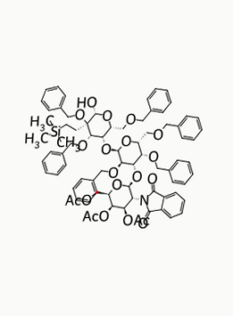 CC(=O)OC[C@H]1O[C@@H](O[C@H]2[C@@H](OCc3ccccc3)[C@@H](COCc3ccccc3)O[C@H](O[C@H]3[C@@H](COCc4ccccc4)O[C@@H](O)[C@](CC[Si](C)(C)C)(OCc4ccccc4)[C@H]3OCc3ccccc3)[C@@H]2OCc2ccccc2)[C@H](N2C(=O)c3ccccc3C2=O)[C@@H](OC(C)=O)[C@H]1OC(C)=O